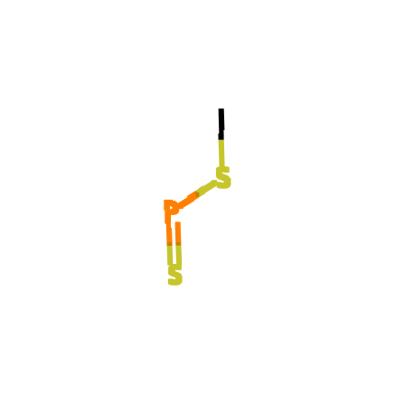 CSP=S